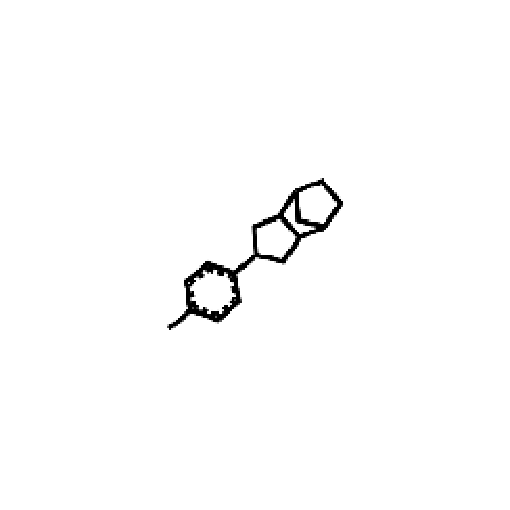 Cc1ccc(C2CC3C4CCC(C4)C3C2)cc1